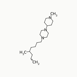 C=CCC(C)CCCCN1CCN(C2CCN(C)CC2)CC1